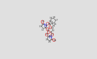 O=C(CCCC1(C(=O)ON2C(=O)CCC2=O)CCCCC1)ON1C(=O)CCC1=O